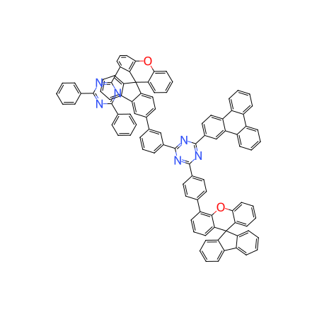 c1ccc(-c2nc(-c3ccccc3)nc(-c3cccc4c3C3(c5ccccc5O4)c4ccccc4-c4cc(-c5cccc(-c6nc(-c7ccc(-c8cccc9c8Oc8ccccc8C98c9ccccc9-c9ccccc98)cc7)nc(-c7ccc8c9ccccc9c9ccccc9c8c7)n6)c5)ccc43)n2)cc1